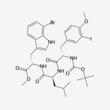 COC(=O)[C@H](Cc1c[nH]c2c(Br)cccc12)NC(=O)[C@H](CC(C)C)NC(=O)[C@H](Cc1ccc(OC)c(I)c1)NC(=O)OC(C)(C)C